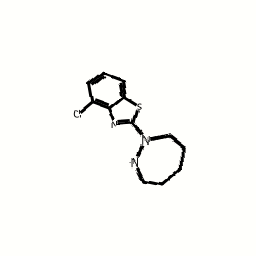 Clc1cccc2sc(N3CCCCC[N]3)nc12